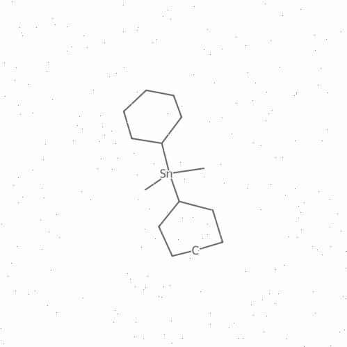 [CH3][Sn]([CH3])([CH]1CCCCC1)[CH]1CCCCC1